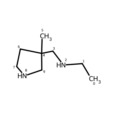 CCNCC1(C)CCNC1